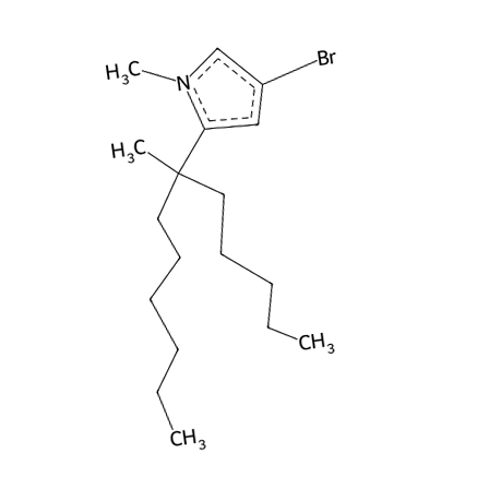 CCCCCCC(C)(CCCCC)c1cc(Br)cn1C